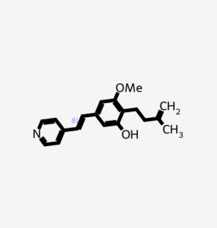 C=C(C)CCc1c(O)cc(/C=C/c2ccncc2)cc1OC